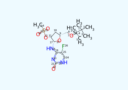 CC(C)(C)[Si](C)(C)OC[C@H]1C[C@@H](OS(C)(=O)=O)[C@@H](Nc2nc(=O)[nH]cc2F)O1